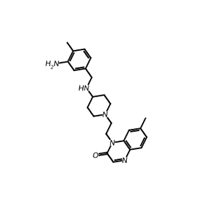 Cc1ccc2ncc(=O)n(CCN3CCC(NCc4ccc(C)c(N)c4)CC3)c2c1